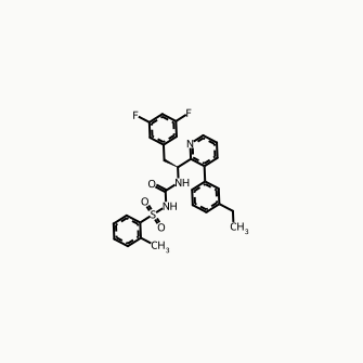 CCc1cccc(-c2cccnc2[C@H](Cc2cc(F)cc(F)c2)NC(=O)NS(=O)(=O)c2ccccc2C)c1